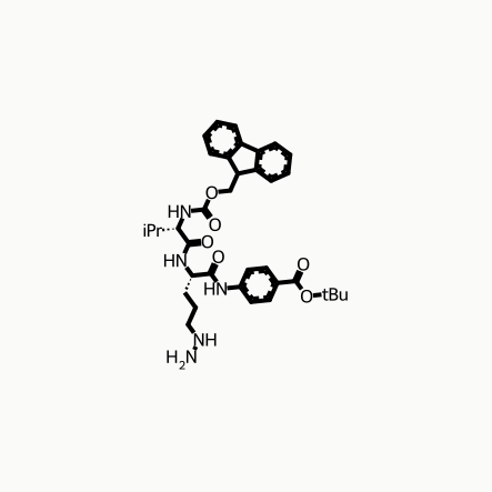 CC(C)[C@H](NC(=O)OCC1c2ccccc2-c2ccccc21)C(=O)N[C@@H](CCCNN)C(=O)Nc1ccc(C(=O)OC(C)(C)C)cc1